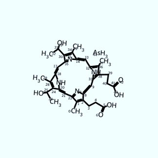 CC1=C(CCC(=O)O)c2cc3[nH]c(cc4nc(cc5[nH]c(cc1n2)c(C(C)O)c5C)C(C(C)O)=C4C)c(C)c3CCC(=O)O.[AsH3]